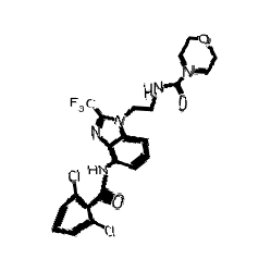 O=C(Nc1cccc2c1nc(C(F)(F)F)n2CCNC(=O)N1CCOCC1)c1c(Cl)cccc1Cl